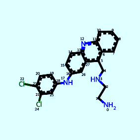 NCCNCc1c2ccccc2nc2ccc(Nc3ccc(Cl)c(Cl)c3)cc12